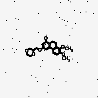 COc1ccc2c(c1OC)CCn1c-2cc(OCC2COCCO2)cc1=O